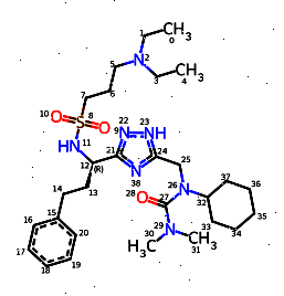 CCN(CC)CCCS(=O)(=O)N[C@H](CCc1ccccc1)c1n[nH]c(CN(C(=O)N(C)C)C2CCCCC2)n1